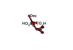 CCCCCCCCCCCCCCCCCCOc1cc(NCC(=O)O)cc(OCCCCc2ccc3cc(OCc4ccccc4)c(OCc4ccccc4)cc3c2)c1CC(=O)O